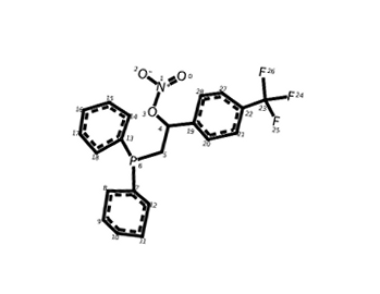 O=[N+]([O-])OC(CP(c1ccccc1)c1ccccc1)c1ccc(C(F)(F)F)cc1